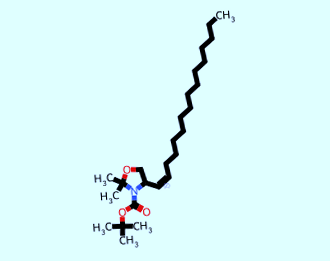 CCCCCCCCCCCCCC/C=C\C1COC(C)(C)N1C(=O)OC(C)(C)C